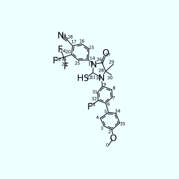 COc1ccc(-c2ccc(N3C(S)N(c4ccc(C#N)c(C(F)(F)F)c4)C(=O)C3(C)C)cc2F)cc1